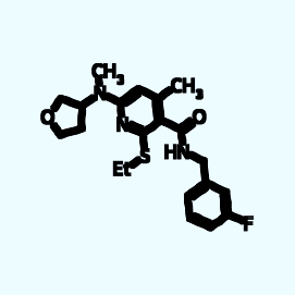 CCSc1nc(N(C)C2CCOC2)cc(C)c1C(=O)NCc1cccc(F)c1